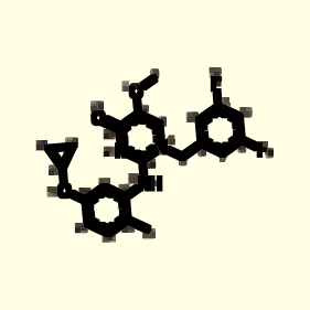 COc1cn(Cc2cc(F)cc(F)c2)c(Nc2cc(OC3CC3)ccc2C)nc1=O